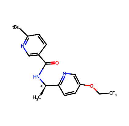 C[C@@H](NC(=O)c1ccc(C(C)(C)C)nc1)c1ccc(OCC(F)(F)F)cn1